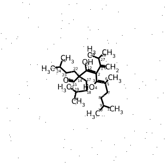 C=C(C(/C(O)=C(\C)CCC(C)C)=C(\O)C(C=O)(CCC(C)C)CCC(C)C)C(C)C